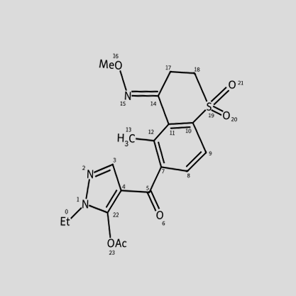 CCn1ncc(C(=O)c2ccc3c(c2C)C(=NOC)CCS3(=O)=O)c1OC(C)=O